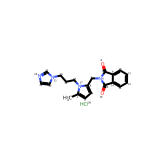 Cc1ccc(CN2C(=O)c3ccccc3C2=O)n1CCCn1ccnc1.Cl